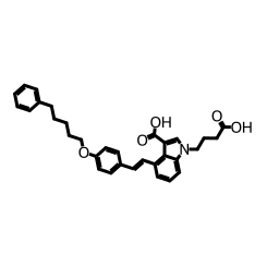 O=C(O)CCCn1cc(C(=O)O)c2c(C=Cc3ccc(OCCCCCc4ccccc4)cc3)cccc21